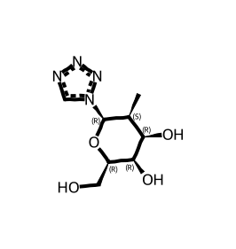 C[C@H]1[C@@H](O)[C@@H](O)[C@@H](CO)O[C@H]1n1cnnn1